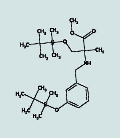 COC(=O)C(C)(CO[Si](C)(C)C(C)(C)C)NCc1cccc(O[Si](C)(C)C(C)(C)C)c1